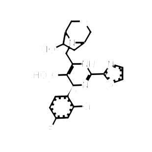 O=C(O)C1=C(CN2C3COCC2C(O)C3)NC(c2nccs2)=N[C@H]1c1ccc(F)cc1Cl